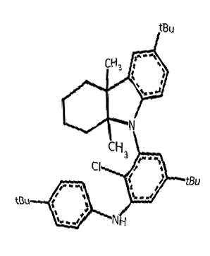 CC(C)(C)c1ccc(Nc2cc(C(C)(C)C)cc(N3c4ccc(C(C)(C)C)cc4C4(C)CCCCC34C)c2Cl)cc1